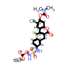 CN(C)C(=O)Oc1cc2oc(=O)c(Cc3cccc(NS(=O)(=O)NOC(=O)OC(C)(C)C)c3)c(CF)c2cc1Cl